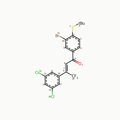 CC(C)(C)Sc1ccc(C(=O)/C=C(/c2cc(Cl)cc(Cl)c2)C(F)(F)F)cc1Br